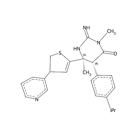 CC(C)c1ccc([C@H]2C(=O)N(C)C(=N)N[C@]2(C)C2=CC(c3cccnc3)CS2)cc1